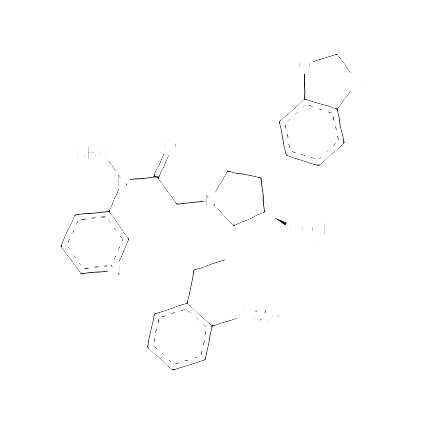 CCCCN(C(=O)CN1C[C@H](c2ccc3c(c2)OCO3)[C@@H](C(=O)O)[C@@H]1CCc1ccccc1OC)c1cccnc1